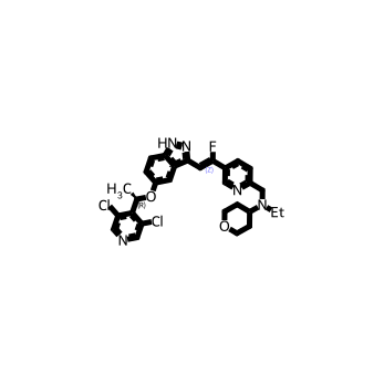 CCN(Cc1ccc(/C(F)=C/c2n[nH]c3ccc(O[C@H](C)c4c(Cl)cncc4Cl)cc23)cn1)C1CCOCC1